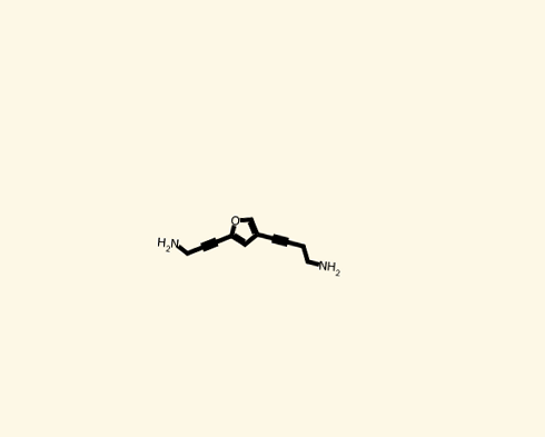 NCC#Cc1cc(C#CCCN)co1